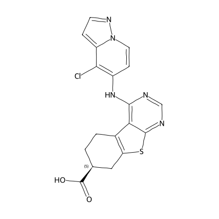 O=C(O)[C@H]1CCc2c(sc3ncnc(Nc4ccn5nccc5c4Cl)c23)C1